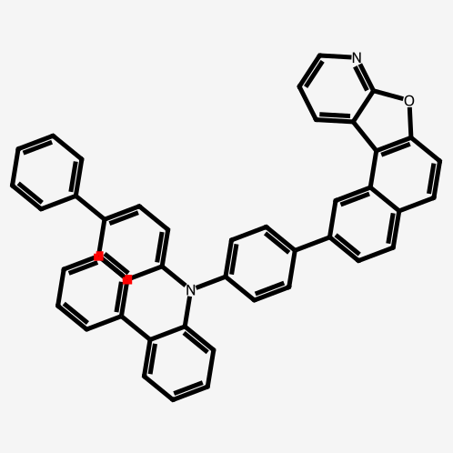 c1ccc(-c2ccc(N(c3ccc(-c4ccc5ccc6oc7ncccc7c6c5c4)cc3)c3ccccc3-c3ccccc3)cc2)cc1